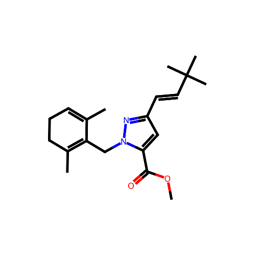 COC(=O)c1cc(/C=C/C(C)(C)C)nn1CC1=C(C)CCC=C1C